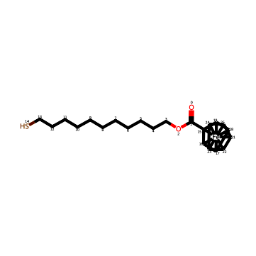 O=C(OCCCCCCCCCCCS)[C]12[CH]3[CH]4[CH]5[CH]1[Fe]45321678[CH]2[CH]1[CH]6[CH]7[CH]28